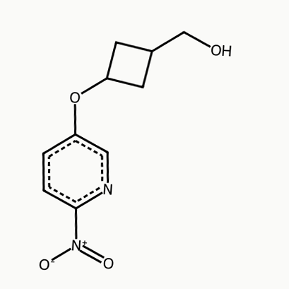 O=[N+]([O-])c1ccc(OC2CC(CO)C2)cn1